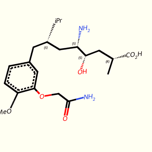 COc1ccc(C[C@@H](C[C@H](N)[C@@H](O)C[C@@H](C)C(=O)O)C(C)C)cc1OCC(N)=O